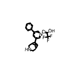 C1=C(c2cncc(-c3ccccc3)c2)C2CNCC1C2.O=C(O)C(F)(F)F